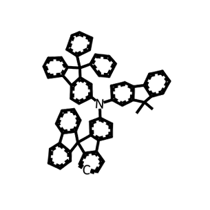 CC1(C)c2ccccc2-c2ccc(N(c3ccc4c(c3)C(c3ccccc3)(c3ccccc3)c3ccccc3-4)c3ccc4c(c3)C3(c5ccccc5-c5ccccc53)c3ccccc3-4)cc21